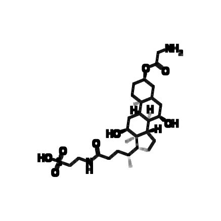 C[C@H](CCC(=O)NCCS(=O)(=O)O)[C@H]1CC[C@H]2[C@@H]3[C@H](O)CC4C[C@H](OC(=O)CN)CC[C@]4(C)[C@H]3C[C@H](O)[C@]12C